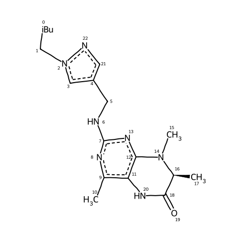 CCC(C)Cn1cc(CNc2nc(C)c3c(n2)N(C)[C@@H](C)C(=O)N3)cn1